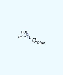 COc1ccc(/C=C/C(CCC(C)C)=N/O)cc1